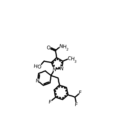 Cc1nn(C2(Cc3cc(F)cc(C(F)F)c3)C=CN=CC2)c(CO)c1C(N)=O